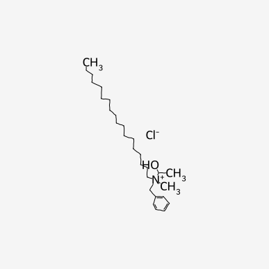 CCCCCCCCCCCCCCCCCC[N+](C)(Cc1ccccc1)C(C)O.[Cl-]